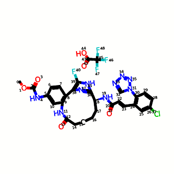 COC(=O)Nc1ccc2c(c1)NC(=O)CCCC[C@H](NC(=O)/C=C/c1cc(Cl)ccc1-n1cnnn1)c1nc-2c(F)[nH]1.O=C(O)C(F)(F)F